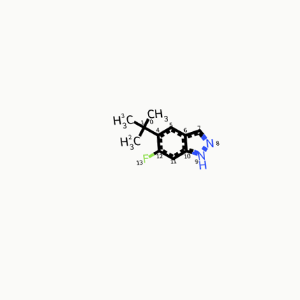 CC(C)(C)c1cc2cn[nH]c2cc1F